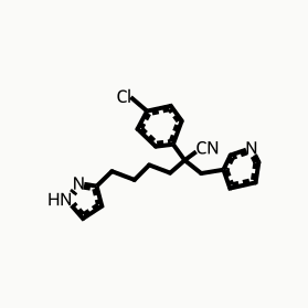 N#CC(CCCCc1cc[nH]n1)(Cc1cccnc1)c1ccc(Cl)cc1